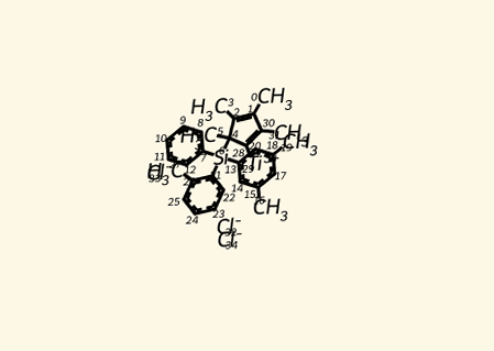 CC1=C(C)C(C)([Si](c2ccccc2)(c2cc(C)cc(C)c2)c2ccccc2C)[C]([Ti+3])=C1C.[Cl-].[Cl-].[Cl-]